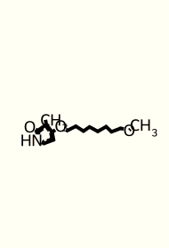 COCCCCCCCCOc1cc[nH]c(=O)c1C